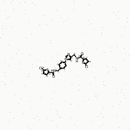 O=C(NCc1ccc(-n2cnc(CNC(=O)c3ccc(Cl)s3)c2)cc1)c1ccc(Cl)s1